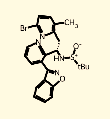 Cc1ccc(Br)nc1C[C@H](N[S+]([O-])C(C)(C)C)c1ncccc1-c1noc2ccccc12